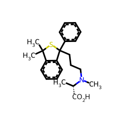 C[C@@H](C(=O)O)N(C)CCCC1(c2ccccc2)SC(C)(C)c2ccccc21